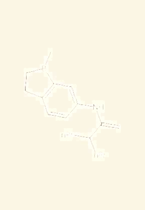 C=C(Nc1ccc2c(c1)B(C)CC2)C(CCC)CCC